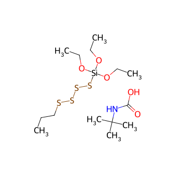 CC(C)(C)NC(=O)O.CCCSSSS[Si](OCC)(OCC)OCC